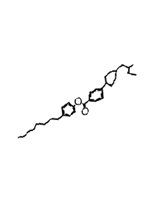 CCCCCCCCc1ccc(OC(=O)c2ccc(C3CCC(CC(C)CC)CC3)cc2)cc1